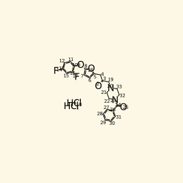 Cl.Cl.O=C(Cc1ccc(Oc2ccc(F)cc2F)o1)CN1CCN(C(=O)c2ccccc2)CC1